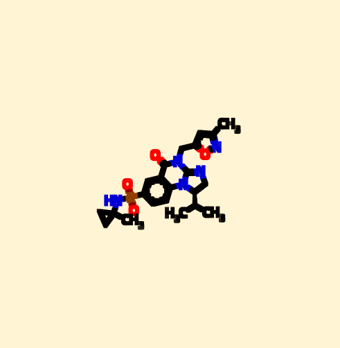 Cc1cc(CN2C(=O)c3cc(S(=O)(=O)NC4(C)CC4)ccc3N3C2=NC[C@H]3C(C)C)on1